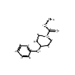 CC(C)(C)OC(=O)N1CCC(Oc2ccccc2)CC1